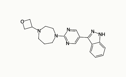 c1ccc2c(-c3cnc(N4CCCN(C5COC5)CC4)nc3)n[nH]c2c1